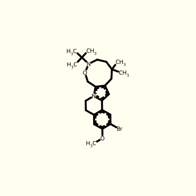 COc1cc2c(cc1Br)-c1cc3c(n1CC2)CON(C(C)(C)C)CCC(C)(C)C3